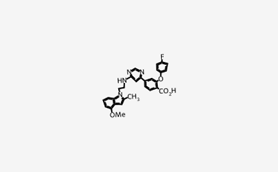 COc1cccc2c1cc(C)n2CCNc1cc(-c2ccc(C(=O)O)c(Oc3ccc(F)cc3)c2)ncn1